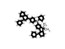 CC1(C)c2cc(N(c3ccccc3)c3ccc(-c4cc(-c5ccccc5)c5ccccc5c4)cc3)ccc2-c2c(-c3ccccc3)cccc21